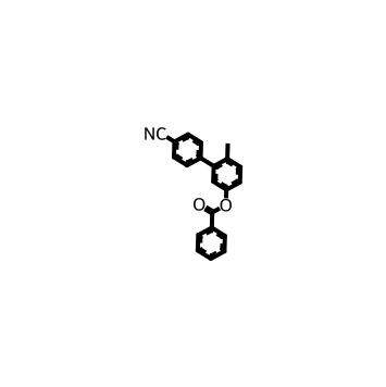 Cc1ccc(OC(=O)c2ccccc2)cc1-c1ccc(C#N)cc1